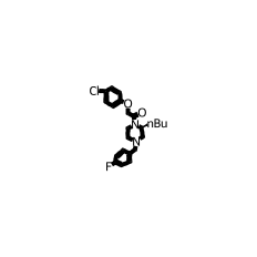 CCCC[C@H]1CN(Cc2ccc(F)cc2)CCN1C(=O)COc1ccc(Cl)cc1